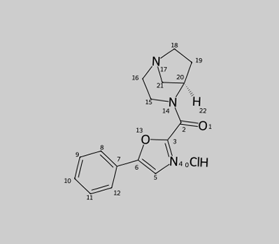 Cl.O=C(c1ncc(-c2ccccc2)o1)N1CCN2CC[C@@H]1C2